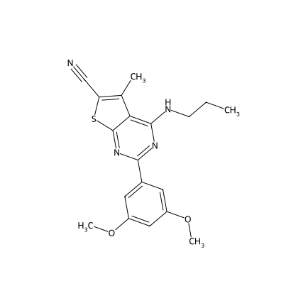 CCCNc1nc(-c2cc(OC)cc(OC)c2)nc2sc(C#N)c(C)c12